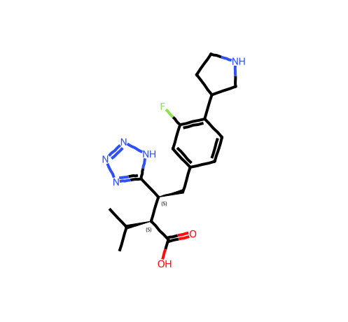 CC(C)[C@H](C(=O)O)[C@H](Cc1ccc(C2CCNC2)c(F)c1)c1nnn[nH]1